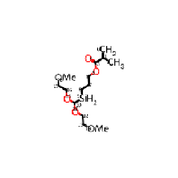 C=C(C)C(=O)OCCC[SiH2]C(OCCOC)OCCOC